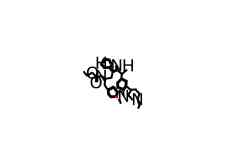 CCOC(=O)NC(Cc1ccccc1)Cc1c(C(C)c2ccc3c(c2)C2CCN(CC)CC2N3CC)[nH]c2ccccc12